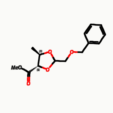 COC(=O)[C@H]1OC(COCc2ccccc2)O[C@@H]1C